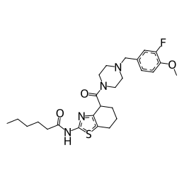 CCCCCC(=O)Nc1nc2c(s1)CCCC2C(=O)N1CCN(Cc2ccc(OC)c(F)c2)CC1